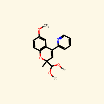 CCOC(OCC)C1(C)C=C(c2ccccn2)c2cc(OC(F)(F)F)ccc2O1